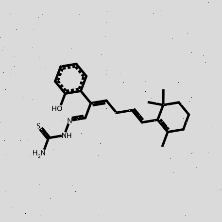 CC1=C(C=CCC=C(C=NNC(N)=S)c2ccccc2O)C(C)(C)CCC1